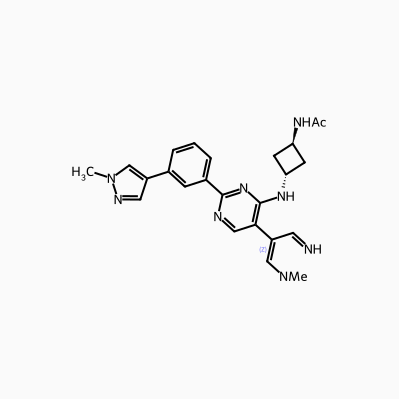 CN/C=C(\C=N)c1cnc(-c2cccc(-c3cnn(C)c3)c2)nc1N[C@H]1C[C@H](NC(C)=O)C1